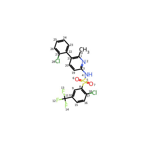 Cc1nc(NS(=O)(=O)c2cc(C(F)(F)F)ccc2Cl)ccc1-c1ccccc1Cl